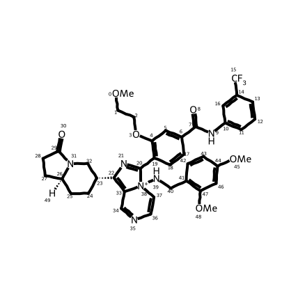 COCCOc1cc(C(=O)Nc2cccc(C(F)(F)F)c2)ccc1C1=NC([C@@H]2CC[C@H]3CCC(=O)N3C2)=C2C=NC=C[N+]12NCc1ccc(OC)cc1OC